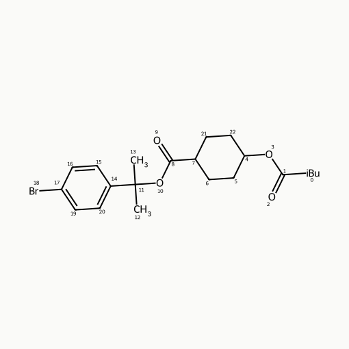 CCC(C)C(=O)OC1CCC(C(=O)OC(C)(C)c2ccc(Br)cc2)CC1